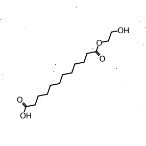 O=C(O)CCCCCCCCCCC(=O)OCCO